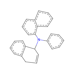 C1=CC(N(c2ccccc2)c2cccc3ccccc23)c2ccccc2C1